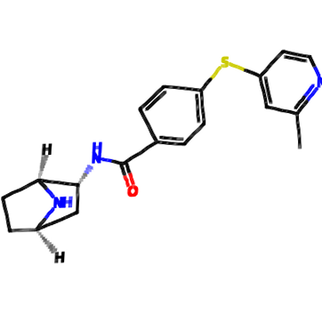 Cc1cc(Sc2ccc(C(=O)N[C@@H]3C[C@H]4CC[C@@H]3N4)cc2)ccn1